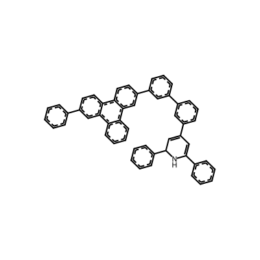 C1=C(c2cccc(-c3cccc(-c4ccc5c6ccc(-c7ccccc7)cc6c6ccccc6c5c4)c3)c2)C=C(c2ccccc2)NC1c1ccccc1